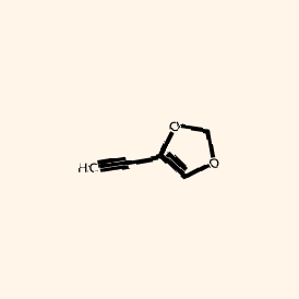 C#CC1=COCO1